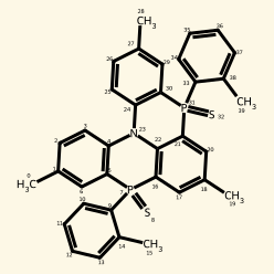 Cc1ccc2c(c1)P(=S)(c1ccccc1C)c1cc(C)cc3c1N2c1ccc(C)cc1P3(=S)c1ccccc1C